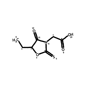 CCC1OC(=S)N(CC(=O)O)C1=O